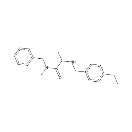 CCc1ccc(CNC(C)C(=O)N(C)Cc2ccccc2)cc1